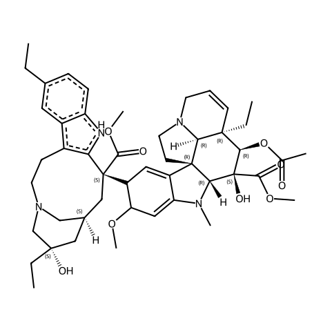 CCc1ccc2[nH]c3c(c2c1)CCN1C[C@H](C[C@@](O)(CC)C1)C[C@]3(C(=O)OC)C1C=C2C(=CC1OC)N(C)[C@H]1[C@@](O)(C(=O)OC)[C@H](OC(C)=O)[C@]3(CC)C=CCN4CC[C@]21[C@@H]43